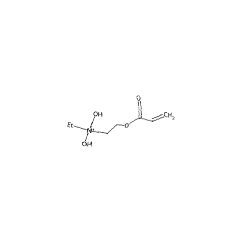 C=CC(=O)OCC[N+](O)(O)CC